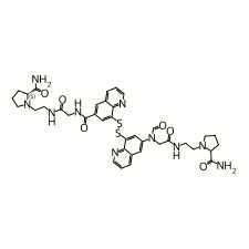 NC(=O)C1CCCN1CCNC(=O)CN(C=O)c1cc(SSc2cc(C(=O)NCC(=O)NCCN3CCC[C@H]3C(N)=O)cc3cccnc23)c2ncccc2c1